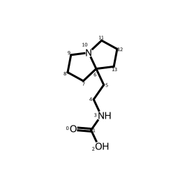 O=C(O)NCCC12CCCN1CCC2